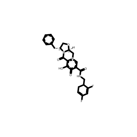 O=C(NCC1CC=C(F)C=C1F)c1cn2c(c(O)c1=O)C(=O)N1[C@H](Cc3ccccc3)CO[C@H]1C2